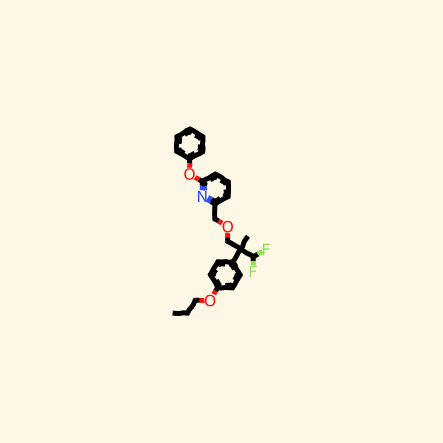 CCCOc1ccc(C(C)(COCc2cccc(Oc3ccccc3)n2)C(F)F)cc1